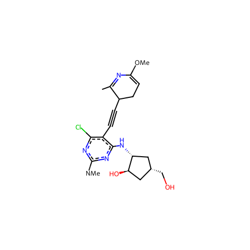 CNc1nc(Cl)c(C#CC2CC=C(OC)N=C2C)c(N[C@@H]2C[C@H](CO)C[C@H]2O)n1